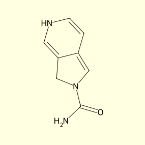 NC(=O)N1C=C2C=CNC=C2C1